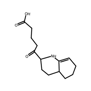 O=C(O)CCCC(=O)C1CCC2CCCC=C2N1